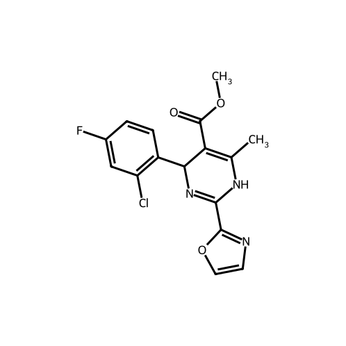 COC(=O)C1=C(C)NC(c2ncco2)=NC1c1ccc(F)cc1Cl